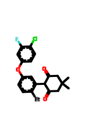 CCc1ccc(Oc2ccc(Cl)c(F)c2)cc1C1C(=O)CC(C)(C)CC1=O